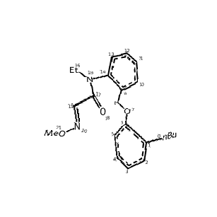 CCCCc1ccccc1OCc1ccccc1N(CC)C(=O)C=NOC